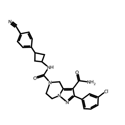 N#Cc1ccc(C2CC(NC(=O)N3CCn4nc(-c5cccc(Cl)c5)c(C(N)=O)c4C3)C2)cc1